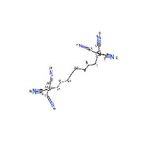 N#C[Si](C#N)(C#N)CCCCCCC[Si](C#N)(C#N)C#N